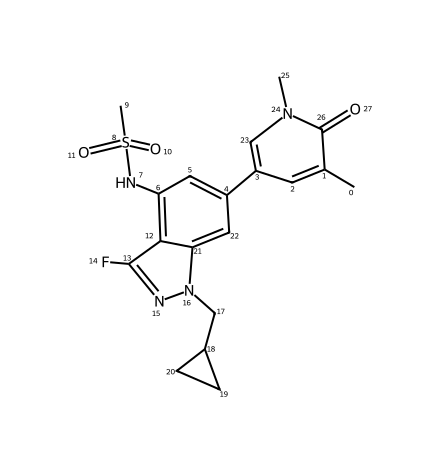 Cc1cc(-c2cc(NS(C)(=O)=O)c3c(F)nn(CC4CC4)c3c2)cn(C)c1=O